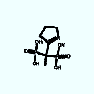 CC(C1=NCCC1)(P(=O)(O)O)P(=O)(O)O